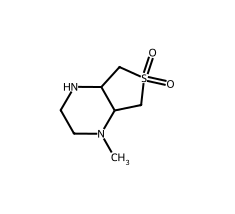 CN1CCNC2CS(=O)(=O)CC21